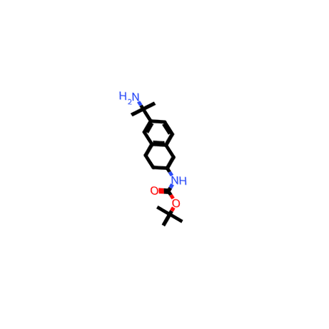 CC(C)(C)OC(=O)NC1CCc2cc(C(C)(C)N)ccc2C1